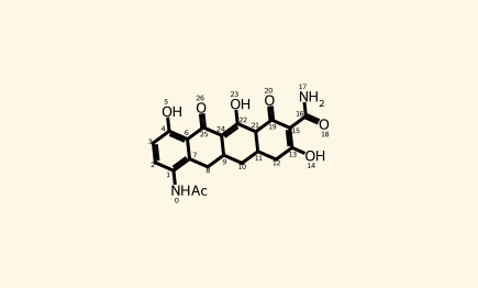 CC(=O)Nc1ccc(O)c2c1CC1CC3CC(O)=C(C(N)=O)C(=O)C3C(O)=C1C2=O